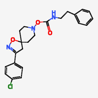 O=C(NCCc1ccccc1)ON1CCC2(CC1)CC(c1ccc(Cl)cc1)=NO2